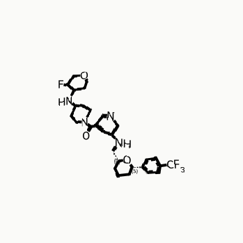 O=C(C1=CC(NC[C@H]2CCC[C@@H](c3ccc(C(F)(F)F)cc3)O2)CN=C1)N1CCC(NC2CCOCC2F)CC1